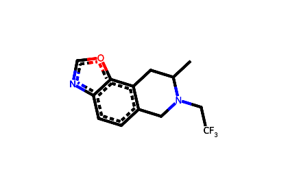 CC1Cc2c(ccc3ncoc23)CN1CC(F)(F)F